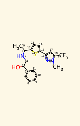 CC(NCC(O)c1ccccc1)c1ccc(-c2cc(C(F)(F)F)n(C)n2)s1